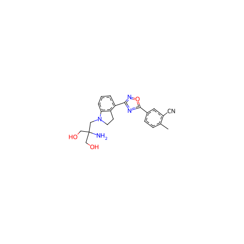 Cc1ccc(-c2nc(-c3cccc4c3CCN4CC(N)(CO)CO)no2)cc1C#N